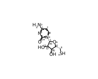 Nc1ccn([C@@H]2O[C@H](CS)[C@@H](O)[C@H]2O)c(=O)n1